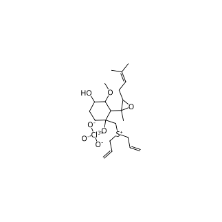 C=CC[S+](CC=C)CC1(O[Cl+3]([O-])([O-])[O-])CCC(O)C(OC)C1C1(C)OC1CC=C(C)C